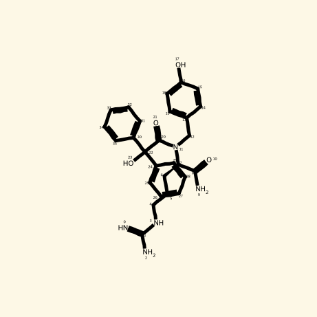 N=C(N)NCCC[C@H](C(N)=O)N(Cc1ccc(O)cc1)C(=O)C(O)(c1ccccc1)c1ccccc1